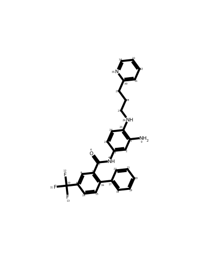 Nc1cc(NC(=O)c2cc(C(F)(F)F)ccc2-c2ccccc2)ccc1NCCCc1ccccn1